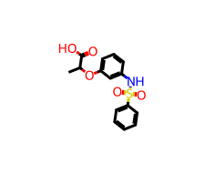 CC(Oc1cccc(NS(=O)(=O)c2ccccc2)c1)C(=O)O